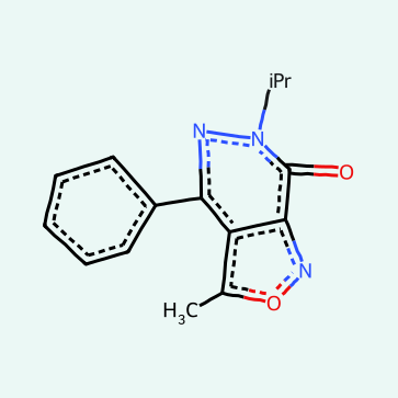 Cc1onc2c(=O)n(C(C)C)nc(-c3ccccc3)c12